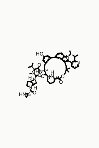 CCn1c(-c2cccnc2C(C)C)c2c3cc(ccc31)-c1cc(O)cc(c1)C[C@H](NC(=O)[C@H](C(C)C)N(C)C(=O)N1C[C@@H]3[C@H]1CCN3C(=O)[C@@H]1CN1)C(=O)N1CCC[C@H](N1)C(=O)OCC(C)(C)C2